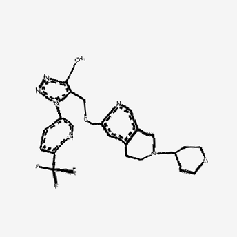 Cc1nnn(-c2ccc(C(F)(F)F)nc2)c1COc1cc2c(cn1)CN(C1CCOCC1)CC2